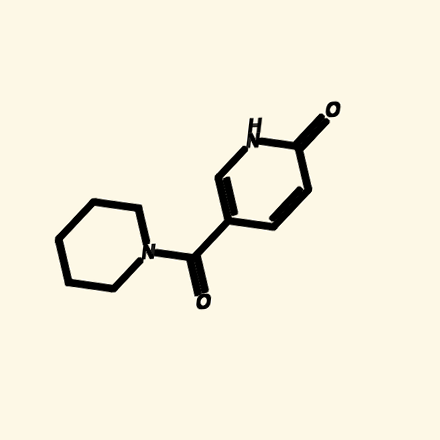 O=C(c1ccc(=O)[nH]c1)N1CCCCC1